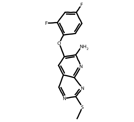 CSc1ncc2cc(Oc3ccc(F)cc3F)c(N)nc2n1